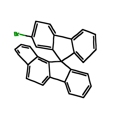 Brc1ccc2c(c1)C1(c3ccccc3-2)c2ccccc2-c2ccc3ccccc3c21